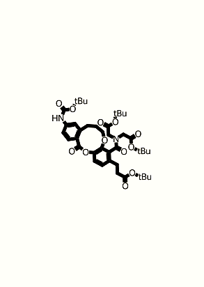 CC(C)(C)OC(=O)CCc1ccc2c(c1C(=O)N(CC(=O)OC(C)(C)C)CC(=O)OC(C)(C)C)OCCCc1cc(NC(=O)OC(C)(C)C)ccc1C(=O)O2